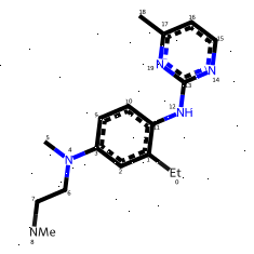 CCc1cc(N(C)CCNC)ccc1Nc1nccc(C)n1